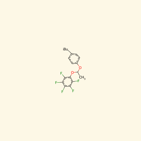 CCC(C)c1ccc(OC(C)Oc2c(F)c(F)c(F)c(F)c2F)cc1